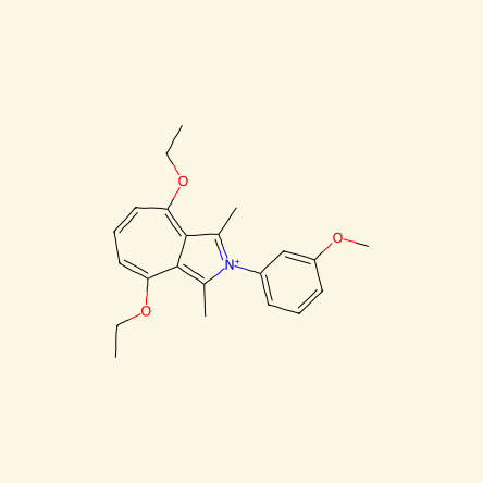 CCOc1cccc(OCC)c2c(C)[n+](-c3cccc(OC)c3)c(C)c1-2